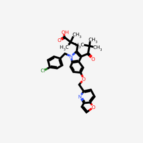 CC(C)(C)C(=O)c1c(CC(C)(C)C(=O)O)n(Cc2ccc(Cl)cc2)c2ccc(OCc3ccc4occc4n3)cc12